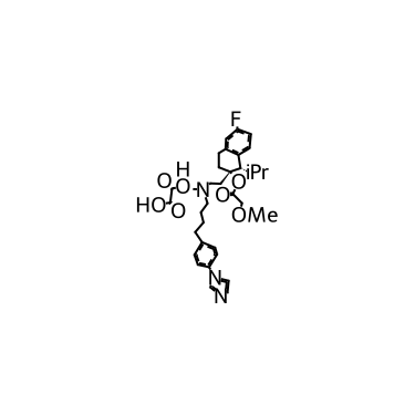 COCC(=O)O[C@]1(CCN(C)CCCCc2ccc(-n3ccnc3)cc2)CCc2cc(F)ccc2[C@@H]1C(C)C.O=C(O)C(=O)O